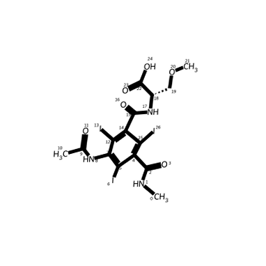 CNC(=O)c1c(I)c(NC(C)=O)c(I)c(C(=O)N[C@@H](COC)C(=O)O)c1I